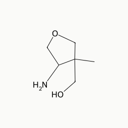 CC1(CO)COCC1N